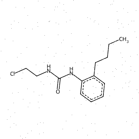 CCCCc1ccccc1NC(=O)NCCCl